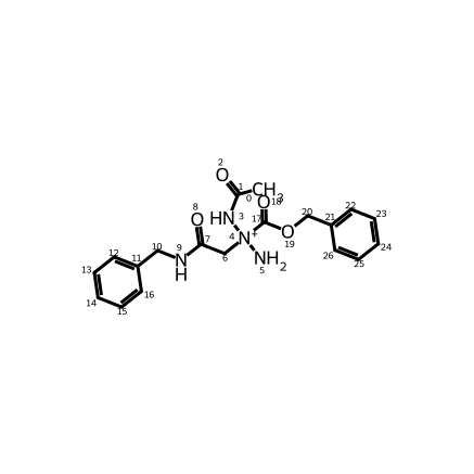 CC(=O)N[N+](N)(CC(=O)NCc1ccccc1)C(=O)OCc1ccccc1